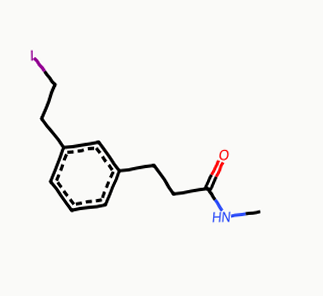 CNC(=O)CCc1cccc(CCI)c1